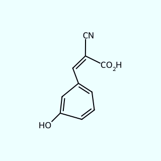 N#CC(=Cc1cccc(O)c1)C(=O)O